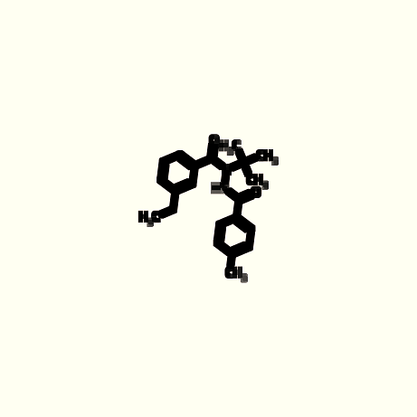 CCc1cccc(C(=O)N(NC(=O)c2ccc(C)cc2)C(C)(C)C)c1